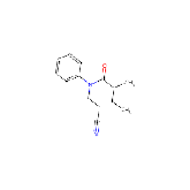 CCC(C)C(=O)N(CCC#N)c1ccccc1